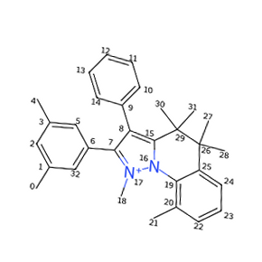 Cc1cc(C)cc(-c2c(-c3ccccc3)c3n([n+]2C)-c2c(C)cccc2C(C)(C)C3(C)C)c1